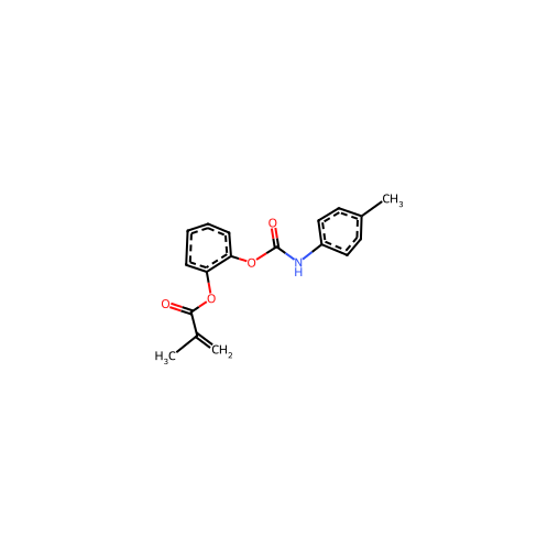 C=C(C)C(=O)Oc1ccccc1OC(=O)Nc1ccc(C)cc1